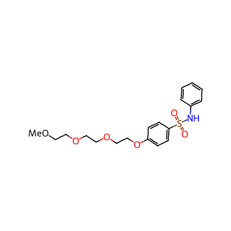 COCCOCCOCCOc1ccc(S(=O)(=O)Nc2ccccc2)cc1